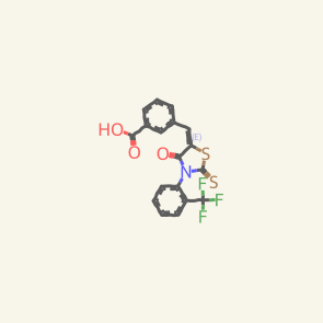 O=C(O)c1cccc(/C=C2/SC(=S)N(c3ccccc3C(F)(F)F)C2=O)c1